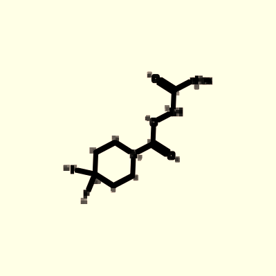 CCCCCCC(=O)NOC(=O)N1CCC(F)(F)CC1